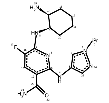 CC(C)n1cc(Nc2nc(N[C@@H]3CCCC[C@@H]3N)c(F)cc2C(N)=O)cn1